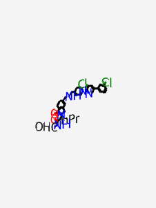 CCCC(C(=O)NC=O)N1Cc2cc(CNCC3CCN(c4ncc(-c5cccc(Cl)c5)cc4Cl)CC3)ccc2C1=O